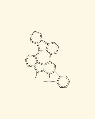 CC1(C)c2ccccc2-c2cc3c4cccc5c6ccccc6n(c6cccc7c6c3c(c21)n7I)c45